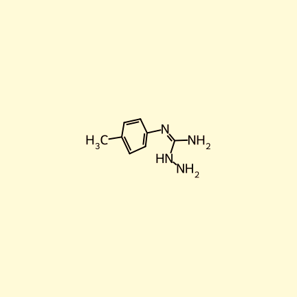 Cc1ccc(N=C(N)NN)cc1